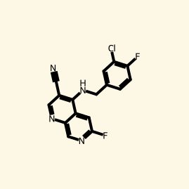 N#Cc1cnc2cnc(F)cc2c1NCc1ccc(F)c(Cl)c1